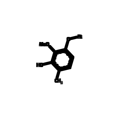 CCOc1ccc(C)c(O)c1OC